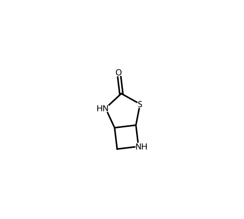 O=C1NC2CNC2S1